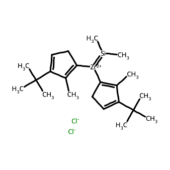 CC1=[C]([Zr+2]([C]2=C(C)C(C(C)(C)C)=CC2)=[Si](C)C)CC=C1C(C)(C)C.[Cl-].[Cl-]